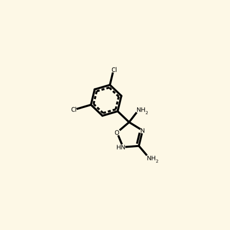 NC1=NC(N)(c2cc(Cl)cc(Cl)c2)ON1